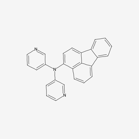 c1cncc(N(c2cccnc2)c2ccc3c4c(cccc24)-c2ccccc2-3)c1